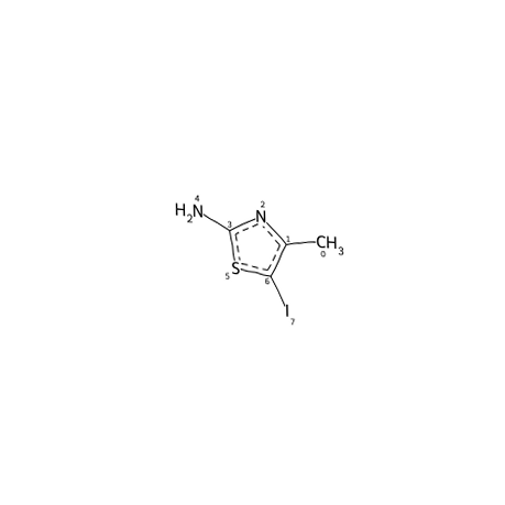 Cc1nc(N)sc1I